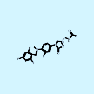 CC(=O)NC[C@H]1CN(c2ccc(N(C)Cc3c(F)cc(F)cc3F)c(F)c2)C(=O)O1